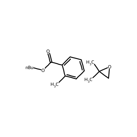 CC1(C)CO1.CCCCOC(=O)c1ccccc1C